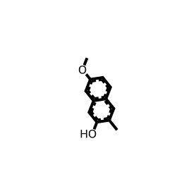 COc1ccc2cc(C)c(O)cc2c1